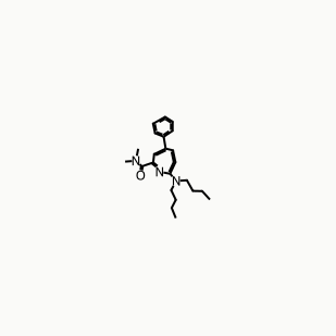 CCCCN(CCCC)C1=C=CC(c2ccccc2)=CC(C(=O)N(C)C)=N1